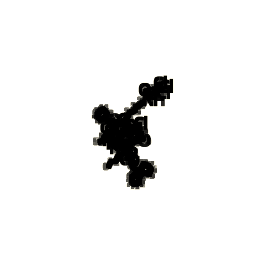 CCCCOC1C(N=[N+]=[N-])C(OC2C(COC(=O)CCl)OC(OCCCCCCNC(=O)OCC(Cl)(Cl)Cl)C(OC(=O)c3ccccc3)C2OCCCC)OC(COC(C)=O)C1OC(=O)OCC1c2ccccc2-c2ccccc21